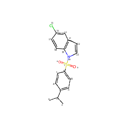 CC(C)c1ccc(S(=O)(=O)n2ccc3cc(Cl)ccc32)cc1